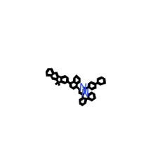 CC1(C)c2cc(-c3ccc(-c4cc(-c5ccccc5-c5ccccc5)nc(-c5ccc(-c6ccccc6)cc5)n4)c4ccccc34)ccc2-c2cc3ccccc3cc21